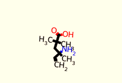 C=CC(C)(N)CC(C)(C)C(=O)O